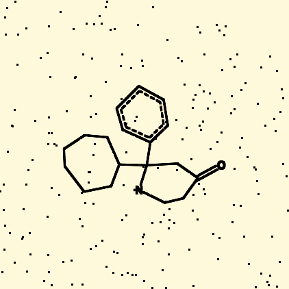 O=C1CC[N]C(c2ccccc2)(C2CCCCCC2)C1